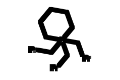 CC(C)CP1(CC(C)C)(CC(C)C)CCCCC1